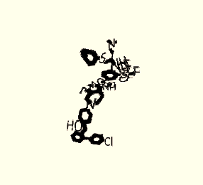 CN(C)CC[C@H](CSc1ccccc1)Nc1ccc(S(=O)(=O)Nc2ncnc3c2CCN(C2CCC(O)(Cc4ccccc4-c4ccc(Cl)cc4)CC2)C3)cc1S(=O)(=O)C(F)(F)F